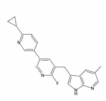 Cc1cnc2[nH]cc(Cc3cc(-c4ccc(C5CC5)nc4)[c]nc3F)c2c1